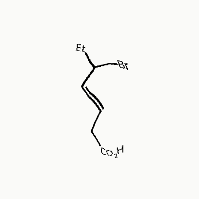 CCC(Br)C=CCC(=O)O